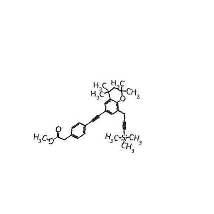 COC(=O)Cc1ccc(C#Cc2cc(CC#C[Si](C)(C)C)c3c(c2)C(C)(C)CC(C)(C)O3)cc1